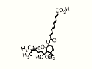 COC1C(OC(=O)/C=C/C=C/C=C/C=C/C(=O)O)CCC2(CO2)C1C(C)(O)CCC=C(C)C